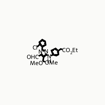 CCOC(=O)Cc1ccc(Nc2nc(-c3ccccc3Cl)nc(C=O)c2C(OC)OC)cc1